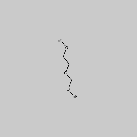 [CH2]COCCOCOCCC